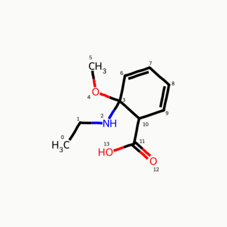 CCNC1(OC)C=CC=CC1C(=O)O